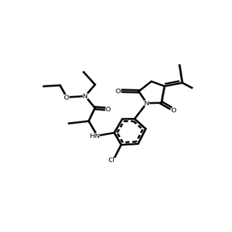 CCON(CC)C(=O)C(C)Nc1cc(N2C(=O)CC(=C(C)C)C2=O)ccc1Cl